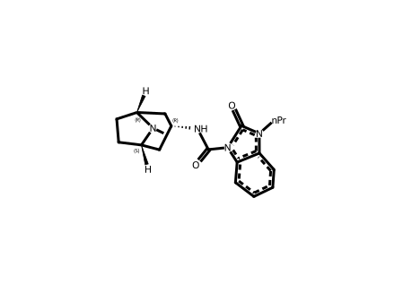 CCCn1c(=O)n(C(=O)N[C@H]2C[C@H]3CC[C@@H](C2)N3C)c2ccccc21